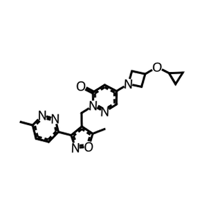 Cc1ccc(-c2noc(C)c2Cn2ncc(N3CC(OC4CC4)C3)cc2=O)nn1